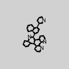 c1cncc(-c2ccc(-c3nc4ccccc4c4c5cccnc5c5ncccc5c34)c3ccccc23)c1